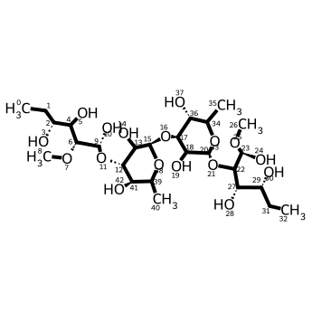 CC[C@@H](O)C(O)[C@@H](OC)[C@H](O)O[C@@H]1C(O)[C@@H](O[C@@H]2C(O)[C@@H](OC([C@H](O)OC)[C@@H](O)[C@H](O)CC)OC(C)[C@H]2O)OC(C)[C@H]1O